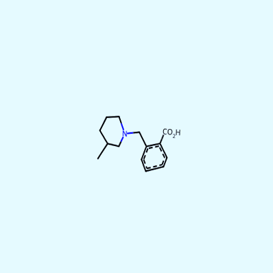 CC1CCCN(Cc2ccccc2C(=O)O)C1